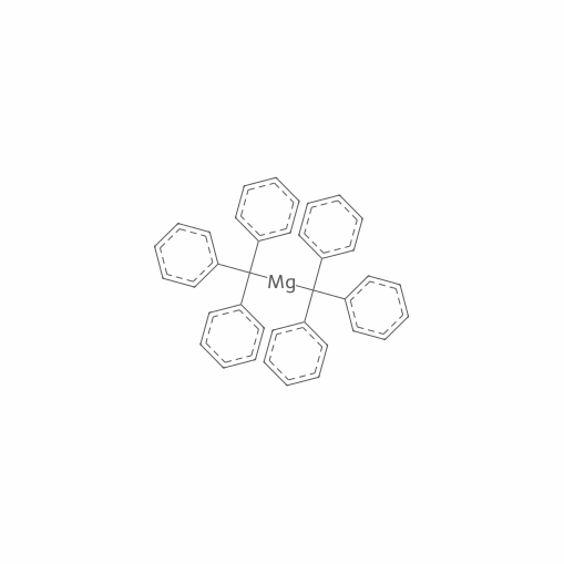 c1ccc([C]([Mg][C](c2ccccc2)(c2ccccc2)c2ccccc2)(c2ccccc2)c2ccccc2)cc1